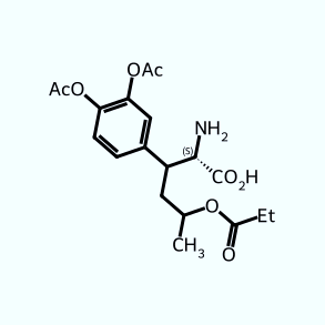 CCC(=O)OC(C)CC(c1ccc(OC(C)=O)c(OC(C)=O)c1)[C@H](N)C(=O)O